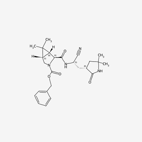 CC1(C)C[C@@H](C[C@@H](C#N)NC(=O)[C@@H]2[C@@H]3[C@H](CN2C(=O)OCc2ccccc2)C3(C)C)C(=O)N1